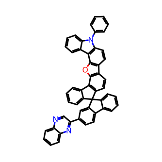 c1ccc(-n2c3ccccc3c3c4oc5c6c(ccc5c4ccc32)C2(c3ccccc3-c3ccc(-c4cnc5ccccc5n4)cc32)c2ccccc2-6)cc1